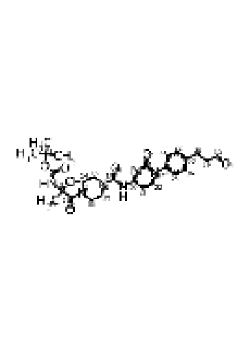 CC(C)(C)OC(=O)NC(C)(C)C(=O)N1CCN(C(=O)Nc2ccn(-c3ccc(CCC=O)cc3)c(=O)n2)CC1